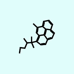 CCCC(C)C(C)(C)c1ccc2ccc3cccc4c(C)cc1c2c34